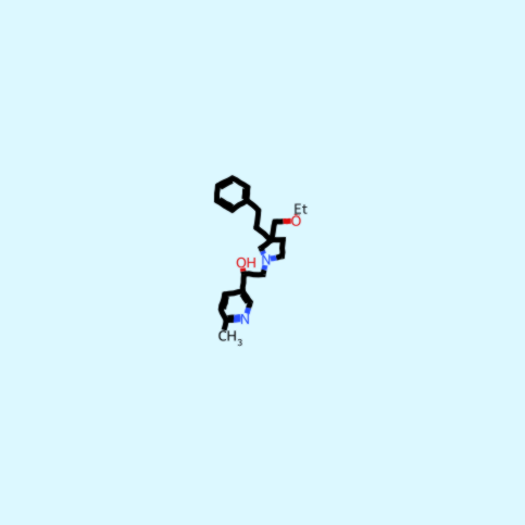 CCOCC1(CCc2ccccc2)CCN(CC(O)c2ccc(C)nc2)C1